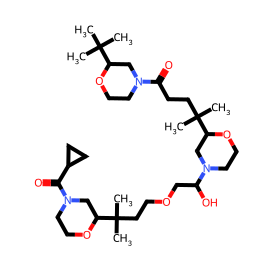 CC(C)(C)C1CN(C(=O)CCC(C)(C)C2CN(C(O)COCCC(C)(C)C3CN(C(=O)C4CC4)CCO3)CCO2)CCO1